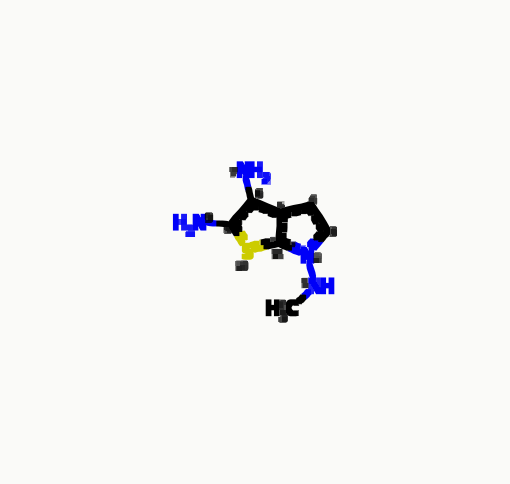 CNn1ccc2c(N)c(N)sc21